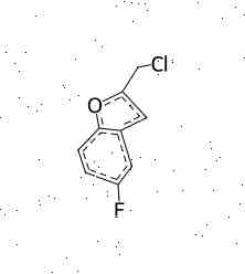 Fc1ccc2oc(CCl)cc2c1